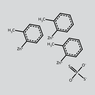 Cc1cccc[c]1[Zn+].Cc1cccc[c]1[Zn+].Cc1cccc[c]1[Zn+].[O-]P([O-])(=S)[S-]